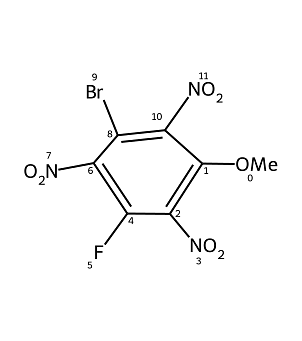 COc1c([N+](=O)[O-])c(F)c([N+](=O)[O-])c(Br)c1[N+](=O)[O-]